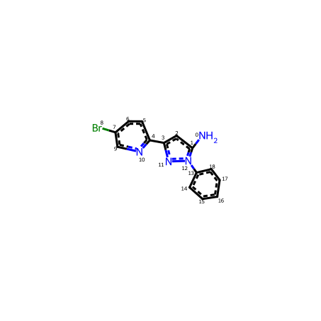 Nc1cc(-c2ccc(Br)cn2)nn1-c1ccccc1